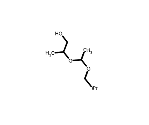 CC(C)COC(C)OC(C)CO